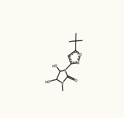 CN1C(=O)N(c2cc(C(C)(C)C)on2)C(O)C1O